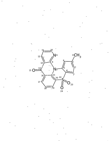 Cc1ccc2c(c1)-n1c3ncccc3c(=O)c3cccc(c31)S2(=O)=O